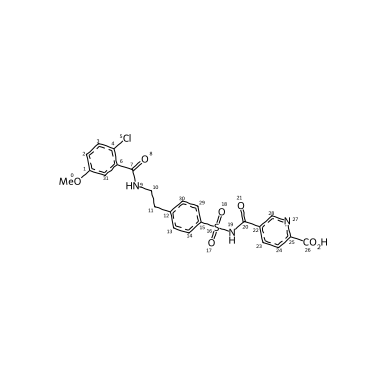 COc1ccc(Cl)c(C(=O)NCCc2ccc(S(=O)(=O)NC(=O)c3ccc(C(=O)O)nc3)cc2)c1